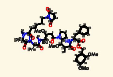 CCC(C)[C@@H](C(CC(=O)N1CCC[C@H]1C(OC)C(C)C(=O)N[C@@H](Cc1ccccc1)C(=O)OCc1ccc(OC)cc1OC)OC)N(C)C(=O)[C@@H](NC(=O)[C@H](C(C)C)N(C)C(=O)CCCCCN1C(=O)C=CC1=O)C(C)C